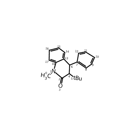 CN1C(=O)C(C(C)(C)C)C(c2ccccc2)c2ccccc21